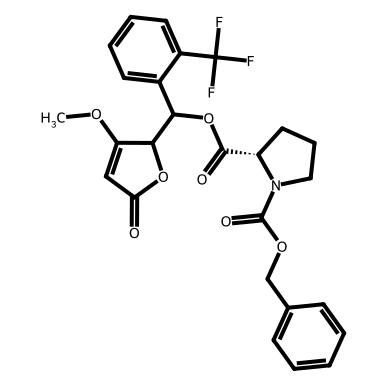 COC1=CC(=O)OC1C(OC(=O)[C@@H]1CCCN1C(=O)OCc1ccccc1)c1ccccc1C(F)(F)F